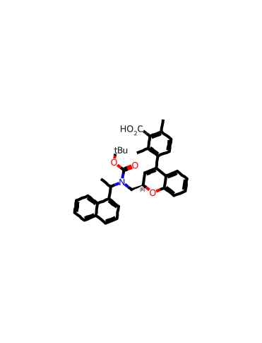 Cc1ccc(C2=C[C@H](CN(C(=O)OC(C)(C)C)C(C)c3cccc4ccccc34)Oc3ccccc32)c(C)c1C(=O)O